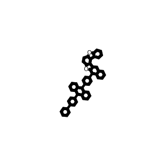 c1ccc(-c2ccc(-c3c4ccccc4c(-c4ccc(-c5c6ccccc6cc6c5oc5ccc7oc8ccccc8c7c56)cc4)c4ccccc34)cc2)cc1